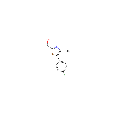 Cc1nc(CO)sc1-c1ccc(F)cc1